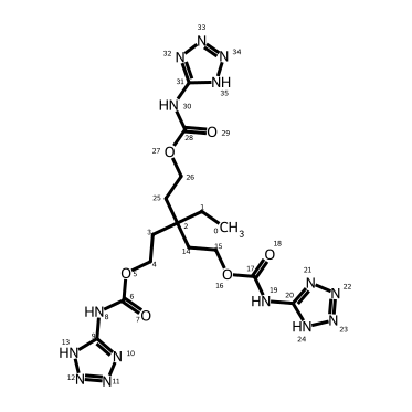 CCC(CCOC(=O)Nc1nnn[nH]1)(CCOC(=O)Nc1nnn[nH]1)CCOC(=O)Nc1nnn[nH]1